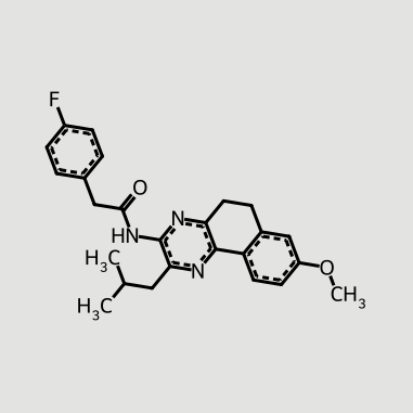 COc1ccc2c(c1)CCc1nc(NC(=O)Cc3ccc(F)cc3)c(CC(C)C)nc1-2